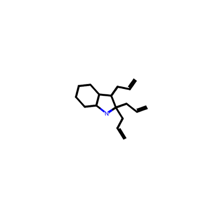 C=CCC1C2CCCCC2[N]C1(CC=C)CC=C